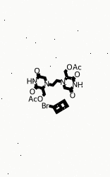 Brc1cc2ccc1-2.CC(=O)OCC1C(=O)NC(=O)CN1CCN1CC(=O)NC(=O)C1COC(C)=O